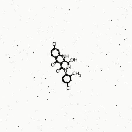 Cc1cc(Cl)ccc1-n1nc(O)c2[nH]c3cc(Cl)ccc3c(=O)c2c1=O